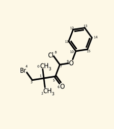 CC(C)(CBr)C(=O)C(Cl)Oc1ccccc1